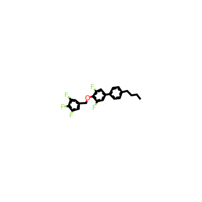 CCCCc1ccc(-c2cc(F)c(OCc3cc(F)c(F)c(F)c3)c(F)c2)cc1